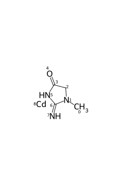 CN1CC(=O)NC1=N.[Cd]